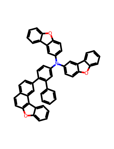 c1ccc(-c2cc(N(c3ccc4oc5ccccc5c4c3)c3ccc4oc5ccccc5c4c3)ccc2-c2ccc3ccc4oc5ccccc5c4c3c2)cc1